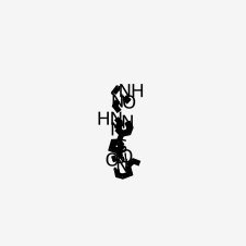 CCC1CCCCN1S(=O)(=O)c1ccc(-c2ccnc(NCCN3CCNC3=O)n2)s1